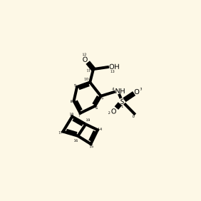 CS(=O)(=O)Nc1ccccc1C(=O)O.c1cc2ccc1-2